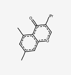 Cc1cc(C)c2c(=O)c(C(C)C)coc2c1